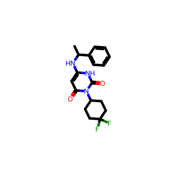 CC(Nc1cc(=O)n(C2CCC(F)(F)CC2)c(=O)[nH]1)c1ccccc1